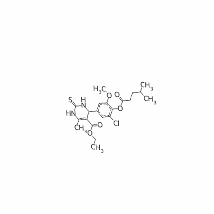 CCOC(=O)C1=C(C)NC(=S)NC1c1cc(Cl)c(OC(=O)CCC(C)C)c(OC)c1